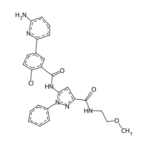 COCCNC(=O)c1cc(NC(=O)c2cc(-c3cccc(N)n3)ccc2Cl)n(-c2ccccc2)n1